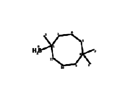 BC1(C)CCCC(C)(C)CCC1